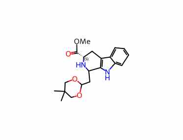 COC(=O)[C@@H]1Cc2c([nH]c3ccccc23)C(CC2OCC(C)(C)CO2)N1